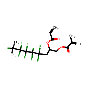 C=CC(=O)OC(COC(=O)C(=C)C)CC(F)(F)C(F)(F)C(F)(F)C(F)(F)C(F)(C(F)(F)F)C(F)(F)F